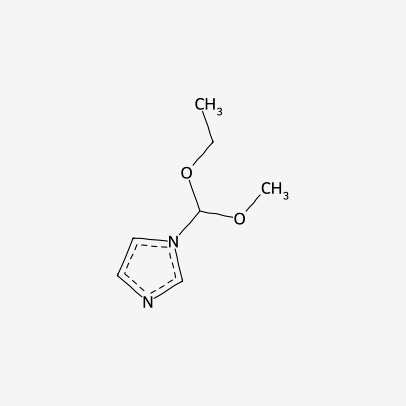 CCOC(OC)n1ccnc1